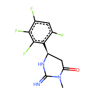 CN1C(=N)N[C@@H](c2c(F)cc(F)c(F)c2F)CC1=O